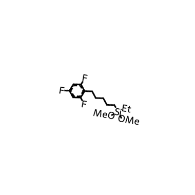 CC[Si](CCCCCc1c(F)cc(F)cc1F)(OC)OC